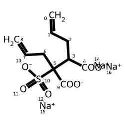 C=CCC(C(=O)[O-])C(CC=C)(C(=O)[O-])S(=O)(=O)[O-].[Na+].[Na+].[Na+]